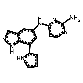 Nc1nccc(Nc2cc(-c3ccc[nH]3)c3[nH]ncc3c2)n1